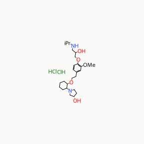 COc1cc(CCO[C@@H]2CCCC[C@@H]2N2CC[C@H](O)C2)ccc1OCC(O)CNC(C)C.Cl.Cl